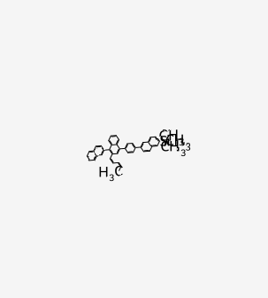 C/C=C\C=C/c1cc(-c2ccc(-c3ccc4cc([Si](C)(C)C)ccc4c3)cc2)c2ccccc2c1-c1ccc2ccccc2c1